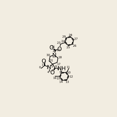 CC(=O)N(C)C1(C(=O)Nc2c(C)cccc2C)CCN(C(=O)OCc2ccccc2)CC1